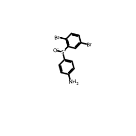 Nc1ccc([S+]([O-])c2cc(Br)ccc2Br)cc1